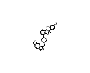 CC1(c2ccc(Cl)cc2F)Oc2cccc(C3CCN(Cc4ncc(C=O)n4CC4CCO4)CC3)c2O1